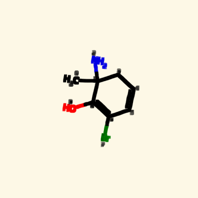 CC1(N)CC=CC(Br)=C1O